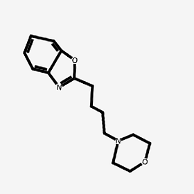 c1ccc2oc(CCCCN3CCOCC3)nc2c1